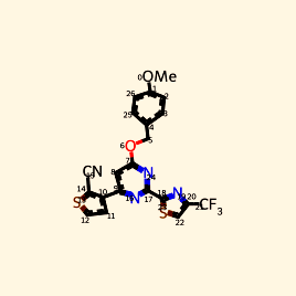 COc1ccc(COc2cc(-c3ccsc3C#N)nc(-c3nc(C(F)(F)F)cs3)n2)cc1